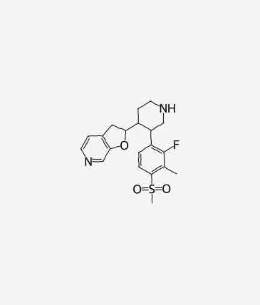 Cc1c(S(C)(=O)=O)ccc(C2CNCCC2C2Cc3ccncc3O2)c1F